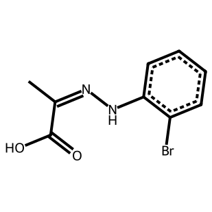 CC(=NNc1ccccc1Br)C(=O)O